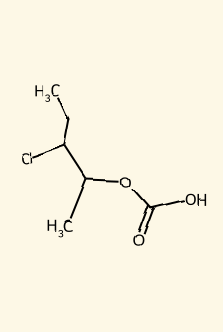 CCC(Cl)C(C)OC(=O)O